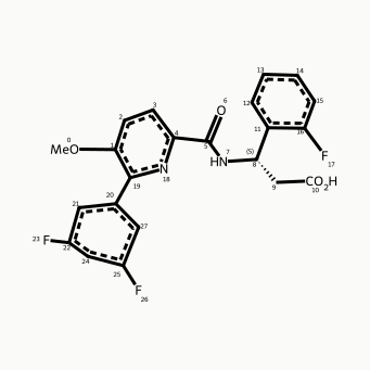 COc1ccc(C(=O)N[C@@H](CC(=O)O)c2ccccc2F)nc1-c1cc(F)cc(F)c1